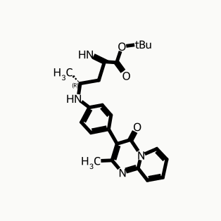 Cc1nc2ccccn2c(=O)c1-c1ccc(N[C@H](C)CC(=N)C(=O)OC(C)(C)C)cc1